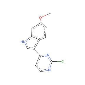 COc1ccc2c(-c3ccnc(Cl)n3)c[nH]c2c1